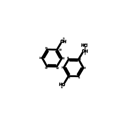 Cl.Oc1ccc(O)cc1.Oc1ccccc1